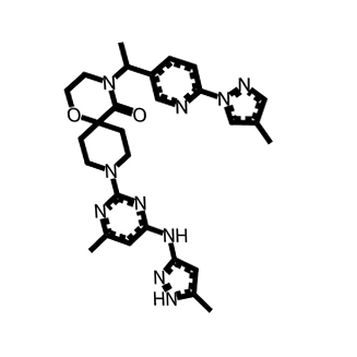 Cc1cnn(-c2ccc(C(C)N3CCOC4(CCN(c5nc(C)cc(Nc6cc(C)[nH]n6)n5)CC4)C3=O)cn2)c1